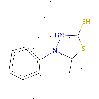 CC1SC(S)NN1c1ccccc1